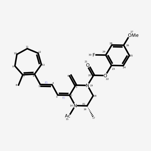 C=C1/C(=C\C=C\C2=C(C)CCCC=C2)N(C(C)=O)[C@@H](C)CN1C(=O)Oc1ccc(OC)cc1F